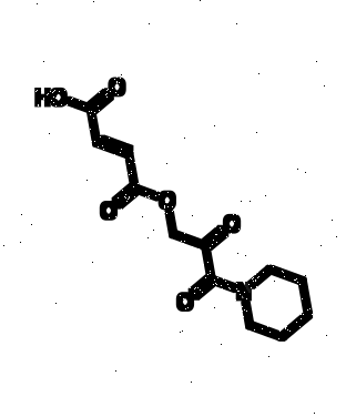 O=C(O)/C=C/C(=O)OCC(=O)C(=O)N1CCCCC1